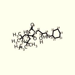 CN1C(C)(C)CC2(CC1(C)C)NC(=O)N(CC(O)CNC1CCCCC1)C2=O